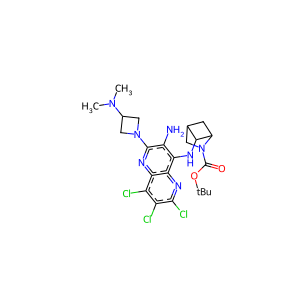 CN(C)C1CN(c2nc3c(Cl)c(Cl)c(Cl)nc3c(NC3C4CC3N(C(=O)OC(C)(C)C)C4)c2N)C1